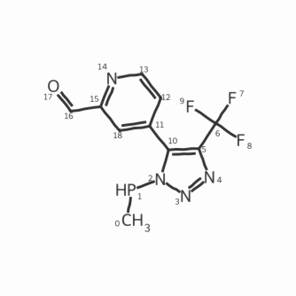 CPn1nnc(C(F)(F)F)c1-c1ccnc(C=O)c1